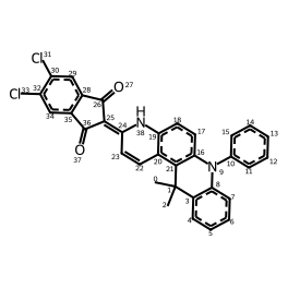 CC1(C)c2ccccc2N(c2ccccc2)c2ccc3c(c21)C=CC(=C1C(=O)c2cc(Cl)c(Cl)cc2C1=O)N3